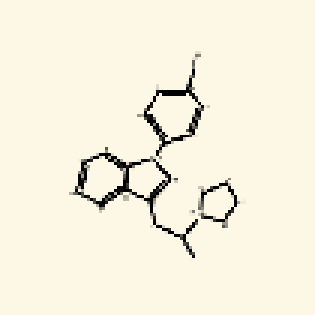 CC(Cc1cn(-c2ccc(F)cc2)c2ccccc12)N1CCCC1